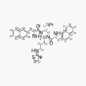 CC(C)C[C@@H]1CN(C(=O)[C@H](N)Cc2ccc3ccccc3c2)[C@@H](CCCNc2nccs2)CN1C(=O)[C@H](N)Cc1ccc2ccccc2c1